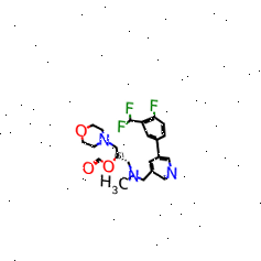 CN(Cc1cncc(-c2ccc(F)c(C(F)F)c2)c1)C[C@@H](CN1CCOCC1)OC=O